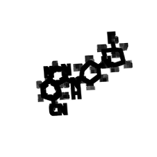 N#Cc1ccc2ncnc(NC3CCC(N4CCCC(F)C4)CC3)c2c1